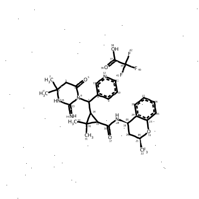 CC1(C)CC(=O)N(C(c2cccnc2)C2C(C(=O)N[C@@H]3C[C@H](C(F)(F)F)Oc4ccccc43)C2(C)C)C(=N)N1.O=C(O)C(F)(F)F